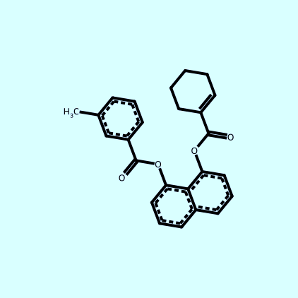 Cc1cccc(C(=O)Oc2cccc3cccc(OC(=O)C4=CCCCC4)c23)c1